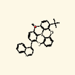 COc1ccc(-c2ccnc3ccccc23)c2c1B1c3c(cccc3Oc3c(C(C)(C)C)ccc(OC)c31)O2